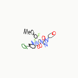 COc1cc(F)c([C@@H]2CN(c3cncn(C4CCOCC4)c3=O)C(=O)[C@H]2NC(=O)c2ccc(Cl)cc2)c(F)c1